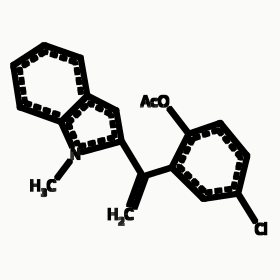 C=C(c1cc(Cl)ccc1OC(C)=O)c1cc2ccccc2n1C